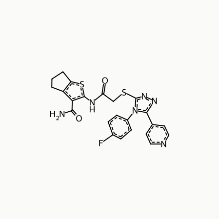 NC(=O)c1c(NC(=O)CSc2nnc(-c3ccncc3)n2-c2ccc(F)cc2)sc2c1CCC2